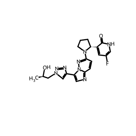 C[C@@H](O)Cn1cc(-c2cnc3ccc(N4CCC[C@@H]4c4cc(F)c[nH]c4=O)nn23)nn1